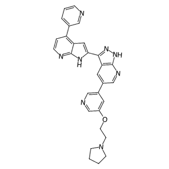 c1cncc(-c2ccnc3[nH]c(-c4n[nH]c5ncc(-c6cncc(OCCN7CCCC7)c6)cc45)cc23)c1